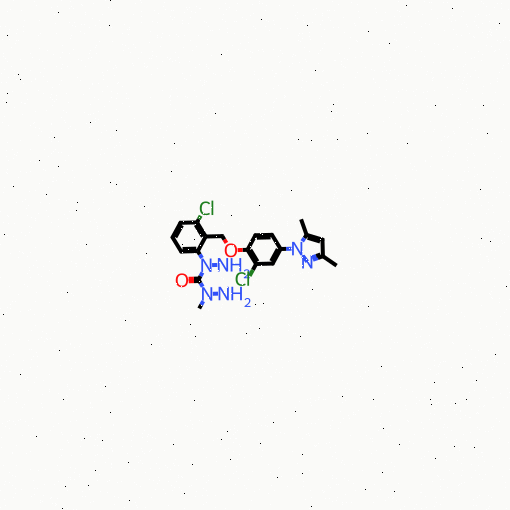 Cc1cc(C)n(-c2ccc(OCc3c(Cl)cccc3N(N)C(=O)N(C)N)c(Cl)c2)n1